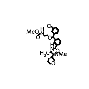 CN[C@@H](C(C)NC(=O)c1cccc(C(OCCNC(=O)OC)c2cccc(Cl)c2)c1)[C@H]1CCCOC1